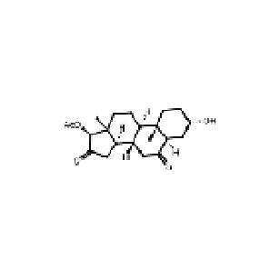 CC(=O)O[C@@H]1C(=O)C[C@@H]2[C@H]3CC(=O)[C@@H]4C[C@@H](O)CC[C@@]4(C)[C@@H]3CC[C@@]12C